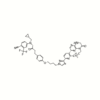 CCN1C(=O)CNc2ncc(-c3ccc(-c4ncn(CCCCOc5ccc(CCC(=O)CN(CC6CC6)c6ccc(C#N)c(C(F)(F)F)c6)cc5)n4)nc3C)nc21